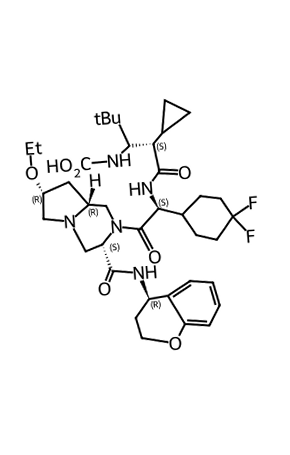 CCO[C@@H]1C[C@@H]2CN(C(=O)[C@@H](NC(=O)[C@@H](C3CC3)C(NC(=O)O)C(C)(C)C)C3CCC(F)(F)CC3)[C@H](C(=O)N[C@@H]3CCOc4ccccc43)CN2C1